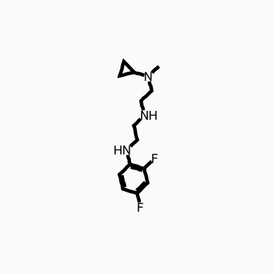 CN(CCNCCNc1ccc(F)cc1F)C1CC1